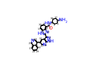 NC1CCC(NC(=O)c2cccc3[nH]c(-c4n[nH]c5ncc(-c6cncc7ccccc67)cc45)nc23)CC1